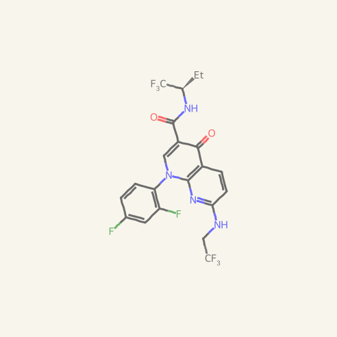 CC[C@@H](NC(=O)c1cn(-c2ccc(F)cc2F)c2nc(NCC(F)(F)F)ccc2c1=O)C(F)(F)F